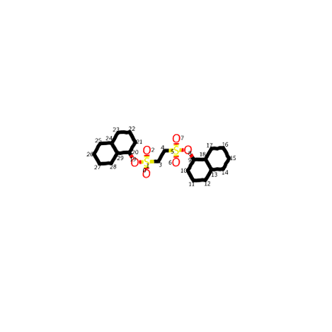 O=S(=O)(CCS(=O)(=O)OC1CCCC2CCCCC21)OC1CCCC2CCCCC21